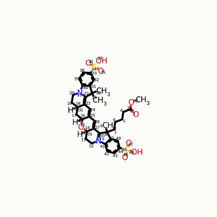 COC(=O)CCCCC1(C)C2=[N+](CC[C@@H]3O[C@@H]4C[C@@H]5CCN6C(=C5C=C4C=C23)C(C)(C)c2cc(S(=O)(=O)O)ccc26)c2ccc(S(=O)(=O)O)cc21